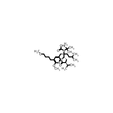 COCCCCc1cc(C[C@@](CCC(C)C)([C@@H]2C[C@@H](C(C)C)C(=O)O2)N(C(=O)O)C(C)(C)C)cnc1OC